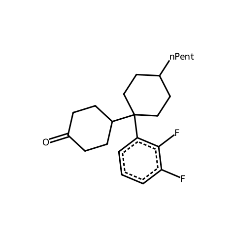 CCCCCC1CCC(c2cccc(F)c2F)(C2CCC(=O)CC2)CC1